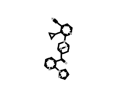 N#Cc1ccnc(N2CC3CCC2CN3C(=O)c2cccnc2-n2cccn2)c1C1CC1